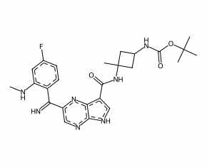 CNc1cc(F)ccc1C(=N)c1cnc2[nH]cc(C(=O)NC3(C)CC(NC(=O)OC(C)(C)C)C3)c2n1